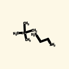 C[PH](C)(C)C.NCCN